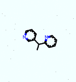 C[C](c1cccnc1)c1ccccn1